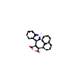 Cn1cc(C2=C(c3cccc4ccccc34)C(=O)OC2=O)c2ccccc21